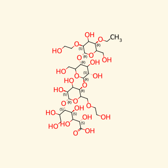 CCO[C@H]1C(CO)O[C@H](O[C@H]2C(CO)O[C@H](O[C@H]3C(COCCO)O[C@H](O[C@@H](C(O)CO)[C@@H](O)C(O)[C@H](O)C(=O)O)[C@@H](O)C3O)[C@@H](O)C2O)[C@@H](OCCO)C1O